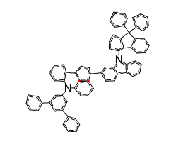 c1ccc(-c2cc(-c3ccccc3)cc(N(c3ccccc3)c3ccccc3-c3ccc(-c4ccc5c6ccccc6n(-c6cccc7c6-c6ccccc6C7(c6ccccc6)c6ccccc6)c5c4)cc3)c2)cc1